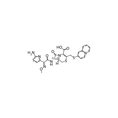 CON=C(C(=O)N[C@@H]1C(=O)N2C(C(=O)O)=C(CSc3cc[n+]4ccccc4c3)SC[C@H]12)c1csc(N)n1